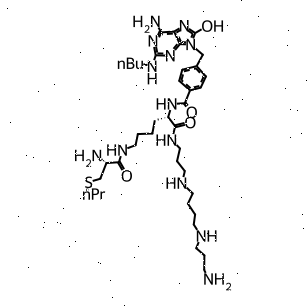 [CH2][CH]CSC[C@H](N)C(=O)NCCCC[C@H](NC(=O)c1ccc(Cn2c(O)nc3c(N)nc(NCCCC)nc32)cc1)C(=O)NCCCNCCCCNCCCN